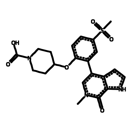 Cn1cc(-c2cc(S(C)(=O)=O)ccc2OC2CCN(C(=O)O)CC2)c2cc[nH]c2c1=O